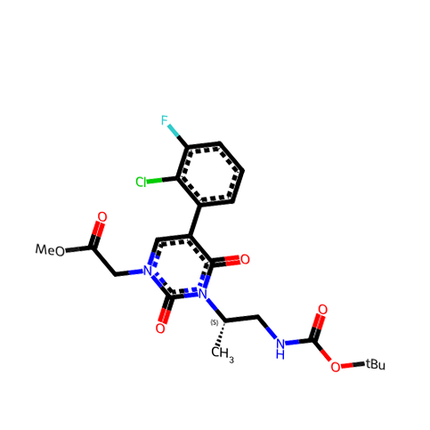 COC(=O)Cn1cc(-c2cccc(F)c2Cl)c(=O)n([C@@H](C)CNC(=O)OC(C)(C)C)c1=O